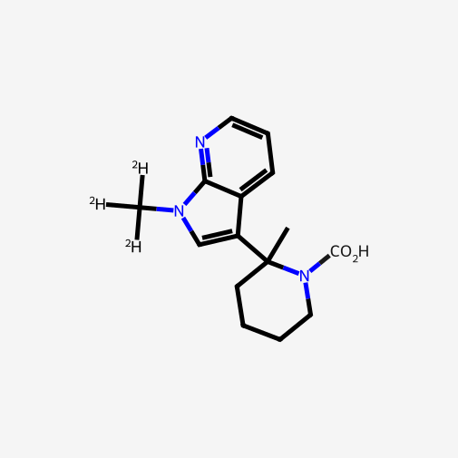 [2H]C([2H])([2H])n1cc(C2(C)CCCCN2C(=O)O)c2cccnc21